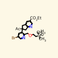 CCOC(=O)c1cnc2c(c1)C[C@@](C(C)=O)(c1cc(Br)cnc1COCC[Si](C)(C)C)C2